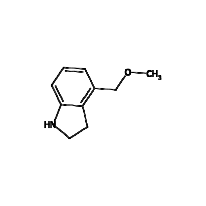 COCc1cccc2c1CCN2